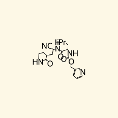 CC(C)C[C@H](NC(=O)OCc1cccnc1)C(=O)N[C@H](C#N)C[C@@H]1CCCNC1=O